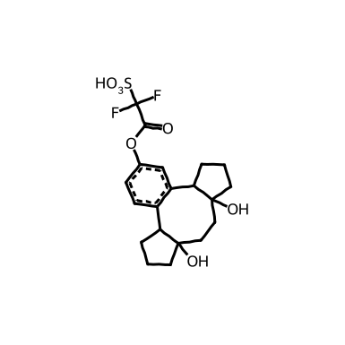 O=C(Oc1ccc2c(c1)C1CCCC1(O)CCC1(O)CCCC21)C(F)(F)S(=O)(=O)O